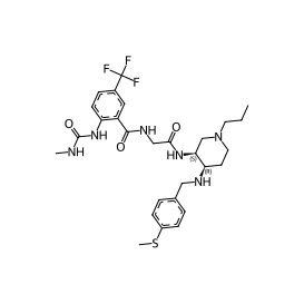 CCCN1CC[C@@H](NCc2ccc(SC)cc2)[C@@H](NC(=O)CNC(=O)c2cc(C(F)(F)F)ccc2NC(=O)NC)C1